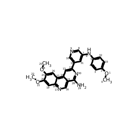 COc1ccc(Nc2cncc(-c3cc4c(cnc5cc(OC)c(OC)cc54)c(N)n3)c2)cc1